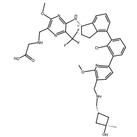 COc1nc(-c2cccc(-c3cccc4c3CC[C@@H]4Nc3nc(OC)c(CNCC(=O)O)nc3C(F)(F)F)c2Cl)ccc1CNC[C@H]1C[C@](C)(O)C1